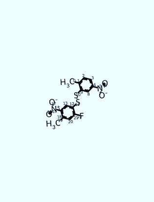 Cc1ccc([N+](=O)[O-])cc1SSc1cc([N+](=O)[O-])c(C)cc1F